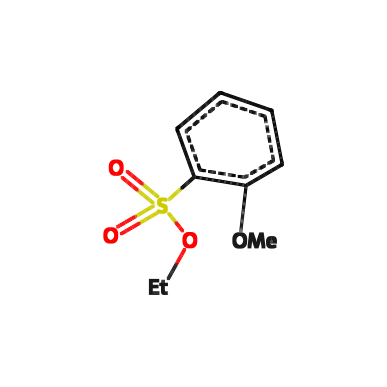 CCOS(=O)(=O)c1ccccc1OC